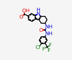 O=C(Nc1ccc(Cl)c(C(F)(F)F)c1)NC1CCc2[nH]c3cc(C(=O)O)ccc3c2C1